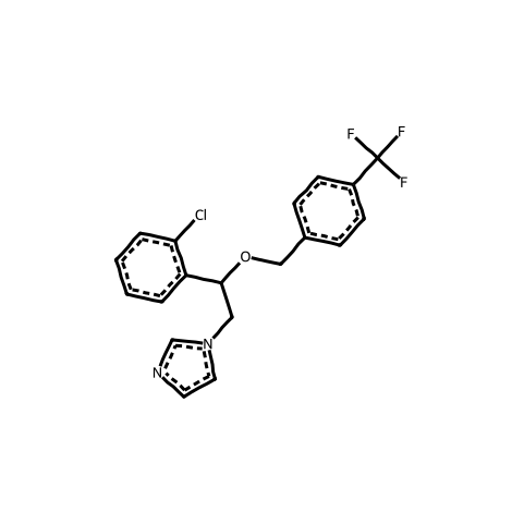 FC(F)(F)c1ccc(COC(Cn2ccnc2)c2ccccc2Cl)cc1